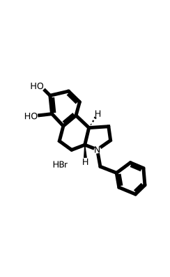 Br.Oc1ccc2c(c1O)CC[C@@H]1[C@@H]2CCN1Cc1ccccc1